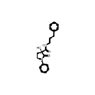 O=C(NCCCc1ccccc1)[C@@]1(O)CCN(c2ccccc2)C1=O